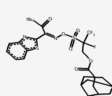 CC(C)(C)C(=O)/C(=N\OS(=O)(=O)C(F)(COC(=O)C12CC3CC(CC(C3)C1)C2)C(F)(F)F)c1nc2ccccc2s1